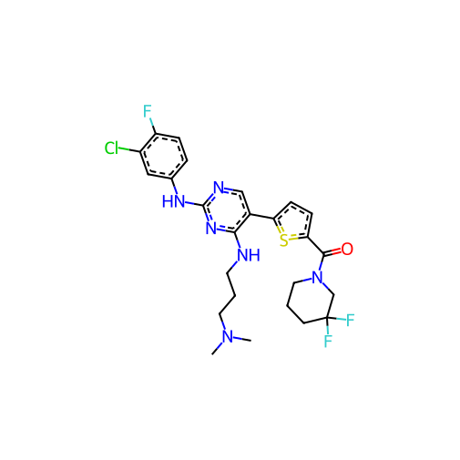 CN(C)CCCNc1nc(Nc2ccc(F)c(Cl)c2)ncc1-c1ccc(C(=O)N2CCCC(F)(F)C2)s1